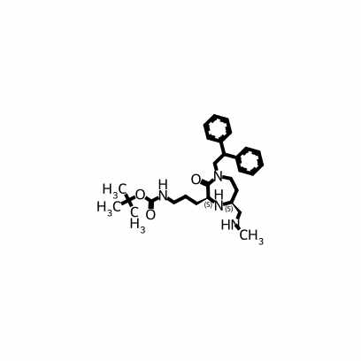 CNC[C@@H]1CCN(CC(c2ccccc2)c2ccccc2)C(=O)[C@H](CCCNC(=O)OC(C)(C)C)N1